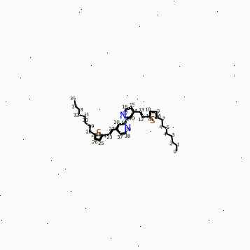 CCCCCCCCc1ccc(/C=C/c2ccnc(-c3cc(/C=C/c4ccc(CCCCCCCC)s4)ccn3)c2)s1